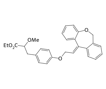 CCOC(=O)C(Cc1ccc(OCC=C2c3ccccc3COc3ccccc32)cc1)OC